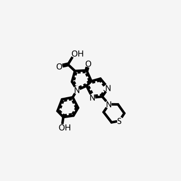 O=C(O)c1cn(-c2ccc(O)cc2)c2nc(N3CCSCC3)ncc2c1=O